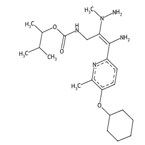 Cc1nc(/C(N)=C(\CNC(=O)OC(C)C(C)C)N(C)N)ccc1OC1CCCCC1